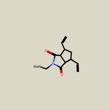 C=CC1CC(C=C)C2C(=O)N(CNC)C(=O)C12